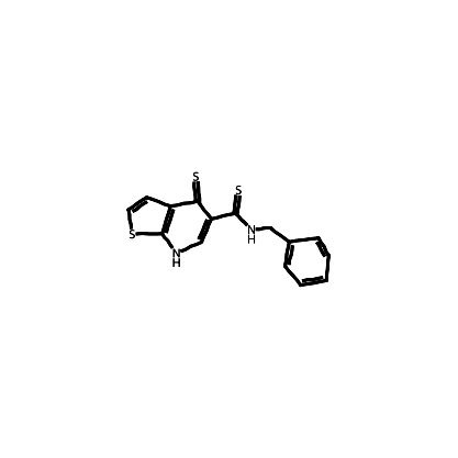 S=C(NCc1ccccc1)c1c[nH]c2sccc2c1=S